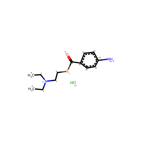 CCN(CC)CCSC(=O)c1ccc(N)cc1.Cl